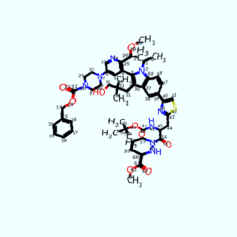 CCn1c(-c2cc(N3CCN(C(=O)OCc4ccccc4)CC3)cnc2[C@H](C)OC)c(CC(C)(C)CO)c2cc(-c3csc(CC(NC(=O)OC(C)(C)C)C(=O)N4CCCC(C(=O)OC)N4)n3)ccc21